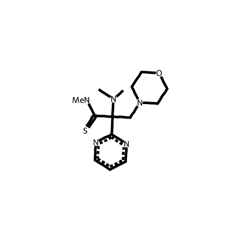 CNC(=S)C(CN1CCOCC1)(c1ncccn1)N(C)C